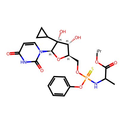 CC(C)OC(=O)C(C)NP(=S)(OC[C@H]1O[C@@H](n2ccc(=O)[nH]c2=O)[C@@](O)(C2CC2)[C@@H]1O)Oc1ccccc1